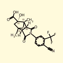 CC12C[C@@](O)(C(=O)O)[C@@](C)(O1)[C@@H]1C(=O)N(c3ccc(C#N)c(C(F)(F)F)c3)C(=O)[C@@H]12